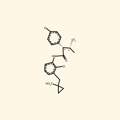 C[C@H]([C@H](C(=O)Nc1cccc(CC2(C(=O)O)CC2)c1Cl)c1ccc(Cl)cc1)C(F)(F)F